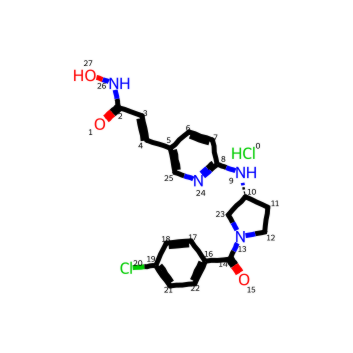 Cl.O=C(C=Cc1ccc(N[C@@H]2CCN(C(=O)c3ccc(Cl)cc3)C2)nc1)NO